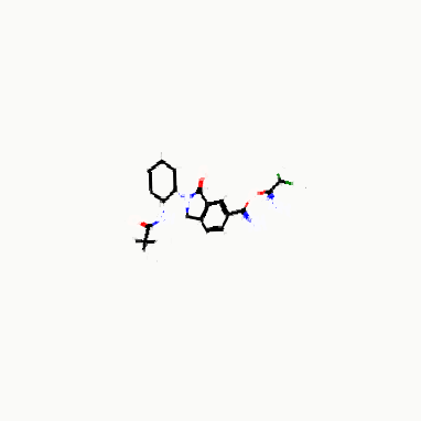 CC(C)(C(=O)N[C@H]1CCCC[C@H]1N1Cc2ccc(C(=N)OC(=N)C(F)F)cc2C1=O)C(F)(F)F